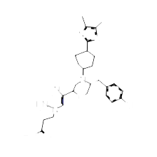 Cc1nc(C2CCC(N3CC(/C(N)=C/N(N)CCC(=O)O)OC[C@@H]3Cc3ccc(Cl)cc3)CC2)sc1C